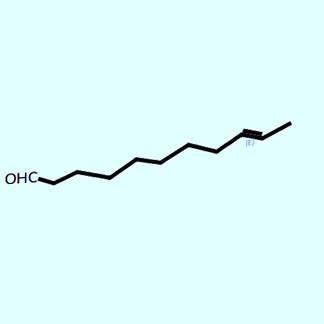 C/C=C/CCCCCCCC=O